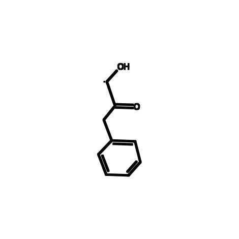 O=C([CH]O)Cc1ccccc1